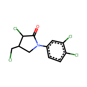 O=C1C(Cl)C(CCl)CN1c1ccc(Cl)c(Cl)c1